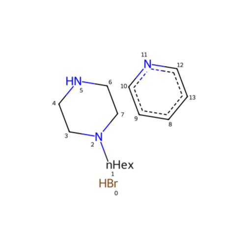 Br.CCCCCCN1CCNCC1.c1ccncc1